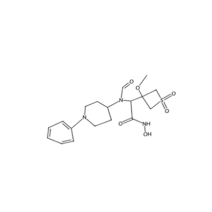 COC1(C(C(=O)NO)N(C=O)C2CCN(c3ccccc3)CC2)CS(=O)(=O)C1